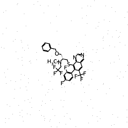 CN(CC(F)(F)F)[C@H](COCc1ccccc1)CSc1c(-c2ccc(F)cc2F)c(C(F)(F)F)cc2cncnc12